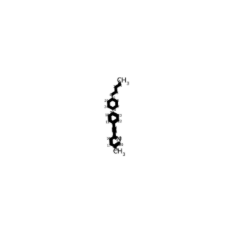 CCCCC[C@H]1CC[C@H](c2ccc(C#Cc3ccc(C)cn3)cc2)CC1